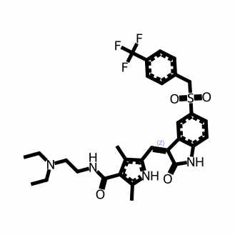 CCN(CC)CCNC(=O)c1c(C)[nH]c(/C=C2\C(=O)Nc3ccc(S(=O)(=O)Cc4ccc(C(F)(F)F)cc4)cc32)c1C